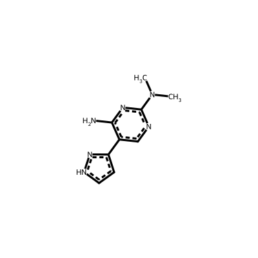 CN(C)c1ncc(-c2cc[nH]n2)c(N)n1